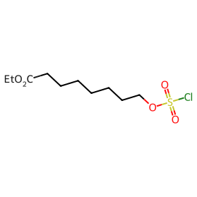 CCOC(=O)CCCCCCCOS(=O)(=O)Cl